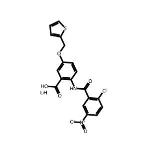 O=C(Nc1ccc(OCc2cccs2)cc1C(=O)O)c1cc([N+](=O)[O-])ccc1Cl.[LiH]